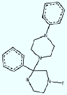 FN1CC[N]C(c2ccccc2)(N2CCN(c3ccccc3)CC2)C1